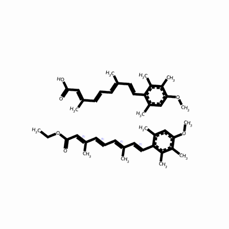 CCOC(=O)/C=C(C)/C=C/C=C(C)/C=C/c1c(C)cc(OC)c(C)c1C.COc1cc(C)c(C=CC(C)=CC=CC(C)=CC(=O)O)c(C)c1C